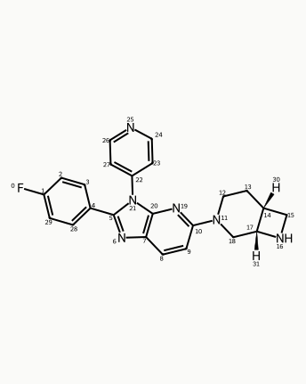 Fc1ccc(-c2nc3ccc(N4CC[C@@H]5CN[C@@H]5C4)nc3n2-c2ccncc2)cc1